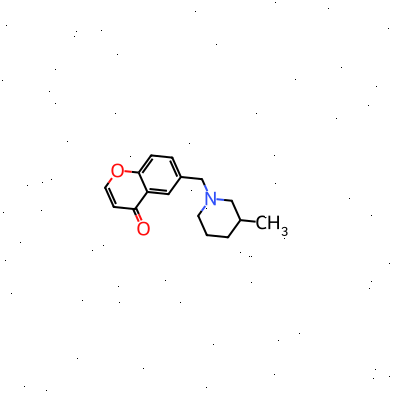 CC1CCCN(Cc2ccc3occc(=O)c3c2)C1